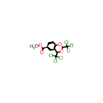 COC(=O)c1ccc2c(c1)C(C(Cl)(Cl)Cl)OC(C(Cl)(Cl)Cl)O2